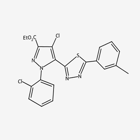 CCOC(=O)c1nn(-c2ccccc2Cl)c(-c2nnc(-c3cccc(C)c3)s2)c1Cl